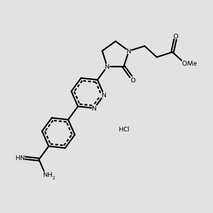 COC(=O)CCN1CCN(c2ccc(-c3ccc(C(=N)N)cc3)nn2)C1=O.Cl